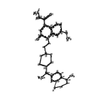 CNC(=O)c1cc(=O)n(CCN2CCC(N(C)c3ccc4c(c3)OCCN4C)CC2)c2cc(OC)ccc12